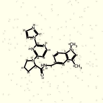 Cc1cn(C)c2ccc(CNC(=O)C3CCCN3c3ccnc(-n4ccnc4)n3)cc12